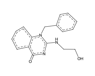 O=c1nc(NCCO)n(Cc2ccccc2)c2ccccc12